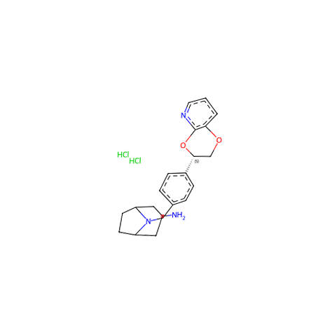 Cl.Cl.NC1CC2CCC(C1)N2Cc1ccc([C@H]2COc3cccnc3O2)cc1